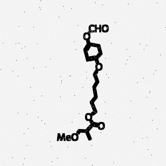 COCC(C)C(=O)OCCCCCCOC1=CC=C(OC=O)CC1